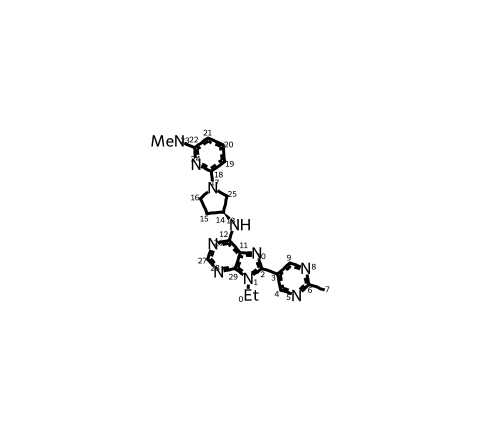 CCn1c(-c2cnc(C)nc2)nc2c(N[C@H]3CCN(c4cccc(NC)n4)C3)ncnc21